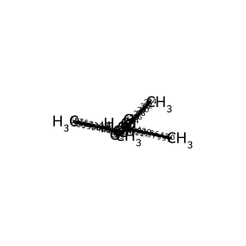 CCCCCCCCCCCCCCCCCCN(C(C)OC(=O)CCCCCCCCCCC)C(C)OC(C)OC(=O)CCCCCCCCCCCCCCCCC